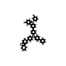 Cc1cccc(-n2c3ccc(C)cc3c3cc(-c4ccc(N(c5ccc(-c6ccccc6)cc5)c5ccc(C6C=c7c8c(oc7=CC6)CCC=C8)cc5)cc4)ccc32)c1